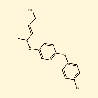 CC(C=CCO)Oc1ccc(Oc2ccc(Br)cc2)cc1